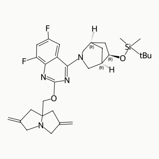 C=C1CN2CC(=C)CC2(COc2nc(N3C[C@@H]4C[C@H](C3)[C@H](O[Si](C)(C)C(C)(C)C)C4)c3cc(F)cc(F)c3n2)C1